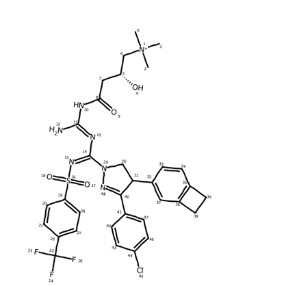 C[N+](C)(C)C[C@H](O)CC(=O)N/C(N)=N/C(=N/S(=O)(=O)c1ccc(C(F)(F)F)cc1)N1CC(c2ccc3c(c2)CC3)C(c2ccc(Cl)cc2)=N1